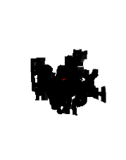 CCCCCC(=O)N[C@H](CCC(=O)N[C@H]1C(CO)OCC(NC(=O)Nc2cccc(C(F)(F)F)c2)C1O[C@H](OC(CO)[C@@H](O)CO)C(C)NC(=O)Nc1cccc(C(F)(F)F)c1)C(=O)O